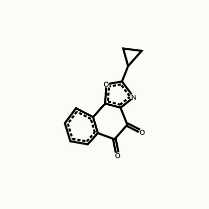 O=C1C(=O)c2nc(C3CC3)oc2-c2ccccc21